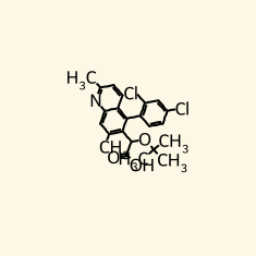 Cc1ccc2c(-c3ccc(Cl)cc3Cl)c(C(OC(C)(C)C)C(=O)O)c(C)cc2n1